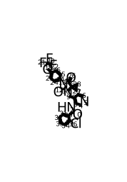 O=C(Nc1cnccc1CN1C(=O)N(c2ccc(OC(F)(F)F)cc2)C(=O)C12CC2)c1ccccc1Cl